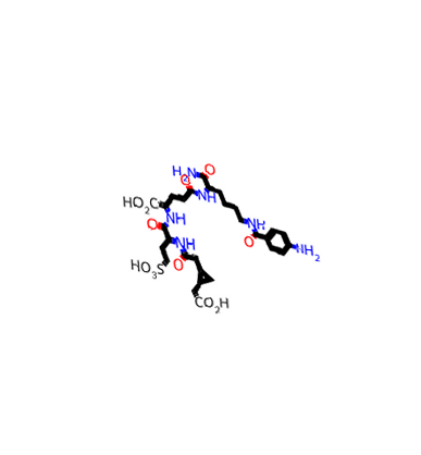 NC(=O)C(CCCCNC(=O)c1ccc(N)cc1)NC(=O)CCC(NC(=O)C(CCS(=O)(=O)O)NC(=O)CC1CC1CC(=O)O)C(=O)O